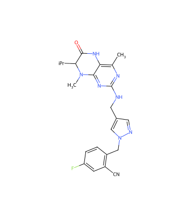 Cc1nc(NCc2cnn(Cc3ccc(F)cc3C#N)c2)nc2c1NC(=O)C(C(C)C)N2C